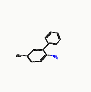 CC(C)(C)C1C=C(c2ccccc2)C(N)=CC1